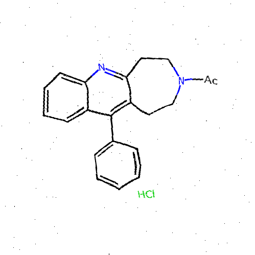 CC(=O)N1CCc2nc3ccccc3c(-c3ccccc3)c2CC1.Cl